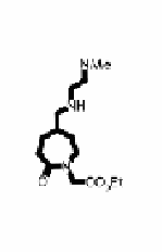 CCOC(=O)CN1CCC(CNCCNC)CCC1=O